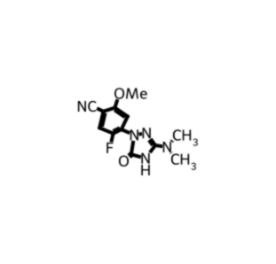 COc1cc(-n2nc(N(C)C)[nH]c2=O)c(F)cc1C#N